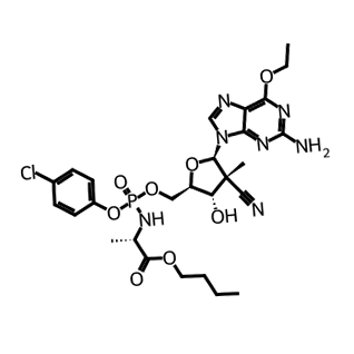 CCCCOC(=O)[C@H](C)NP(=O)(OC[C@H]1O[C@@H](n2cnc3c(OCC)nc(N)nc32)[C@](C)(C#N)[C@@H]1O)Oc1ccc(Cl)cc1